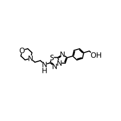 OCc1ccc(-c2cn3nc(NCCN4CCOCC4)sc3n2)cc1